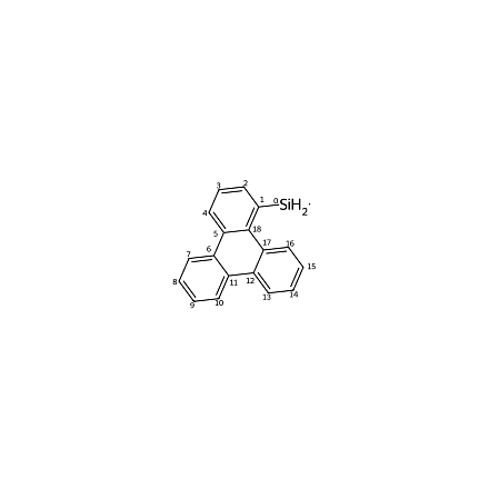 [SiH2]c1cccc2c3ccccc3c3ccccc3c12